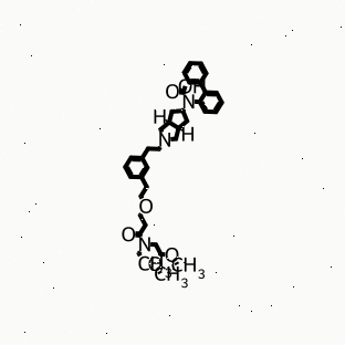 CCN(CC(OC)OC)C(=O)CCOCCc1cccc(CCN2C[C@H]3CC(N(C(=O)O)c4ccccc4-c4ccccc4)C[C@H]3C2)c1